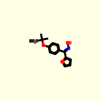 CC(C)(Oc1ccc(/C(=N\O)c2ccco2)cc1)C(=O)O